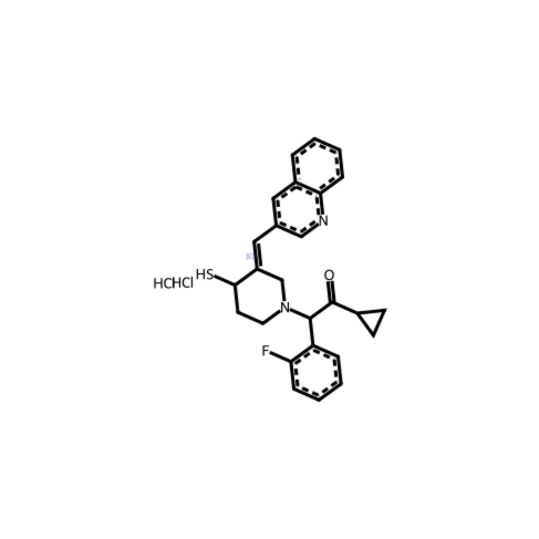 Cl.Cl.O=C(C1CC1)C(c1ccccc1F)N1CCC(S)/C(=C/c2cnc3ccccc3c2)C1